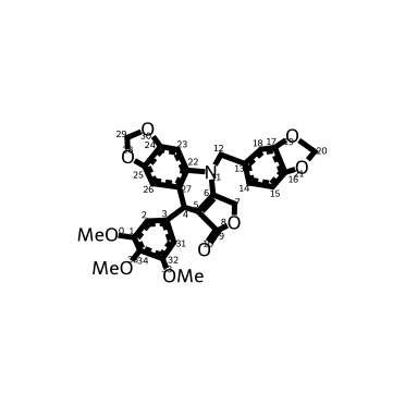 COc1cc(C2C3=C(COC3=O)N(Cc3ccc4c(c3)OCO4)c3cc4c(cc32)OCO4)cc(OC)c1OC